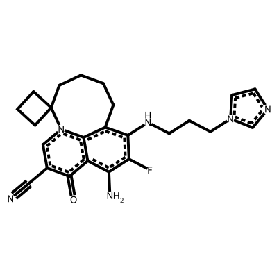 N#Cc1cn2c3c(c(NCCCn4ccnc4)c(F)c(N)c3c1=O)CCCCC21CCC1